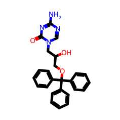 Nc1ncn(CC(O)COC(c2ccccc2)(c2ccccc2)c2ccccc2)c(=O)n1